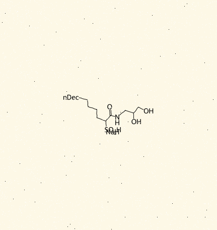 CCCCCCCCCCCCCCC(C(=O)NCC(O)CO)S(=O)(=O)O.[NaH]